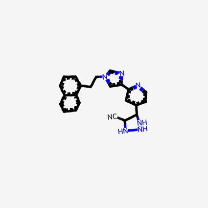 N#CC1NNNC1c1ccnc(-c2cn(CCc3cccc4ccccc34)cn2)c1